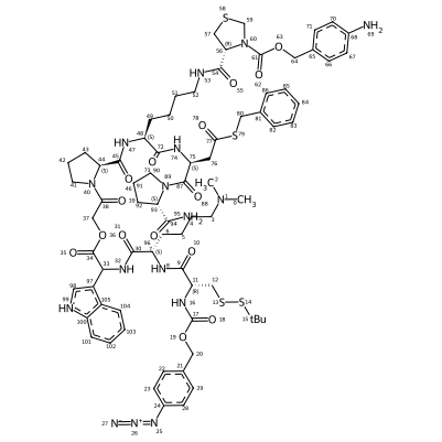 CN(C)CCCC[C@H](NC(=O)[C@H](CSSC(C)(C)C)NC(=O)OCc1ccc(N=[N+]=[N-])cc1)C(=O)NC(C(=O)OCC(=O)N1CCC[C@H]1C(=O)N[C@@H](CCCCNC(=O)[C@@H]1CSCN1C(=O)OCc1ccc(N)cc1)C(=O)N[C@@H](CC(=O)SCc1ccccc1)C(=O)N1CCC[C@H]1C(N)=O)c1c[nH]c2ccccc12